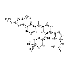 Cc1nn(CC(F)(F)F)cc1-c1nccc(Nc2cc(NC3CCC(C)(O)CC3)c(-c3ccn(CC(F)F)n3)cn2)n1